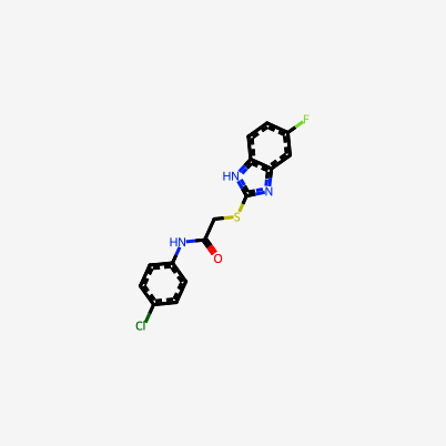 O=C(CSc1nc2cc(F)ccc2[nH]1)Nc1ccc(Cl)cc1